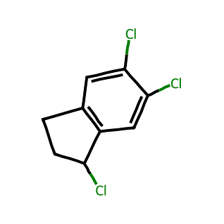 Clc1cc2c(cc1Cl)C(Cl)CC2